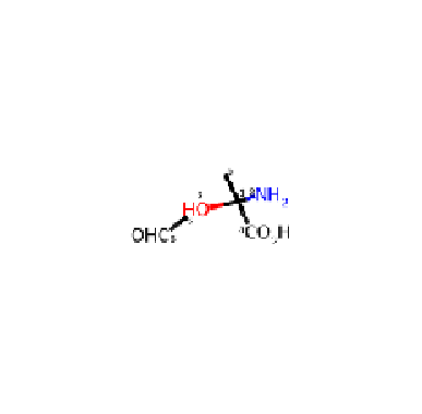 CC(N)(O)C(=O)O.CC=O